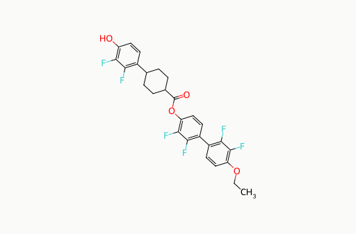 CCOc1ccc(-c2ccc(OC(=O)C3CCC(c4ccc(O)c(F)c4F)CC3)c(F)c2F)c(F)c1F